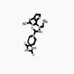 CC(C)(C)CN(NC(=O)N1CCC2(CC1)NC(=O)NC2=O)c1nc(C#N)nc2ccsc12